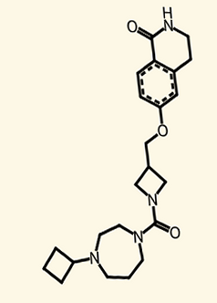 O=C1NCCc2cc(OCC3CN(C(=O)N4CCCN(C5CCC5)CC4)C3)ccc21